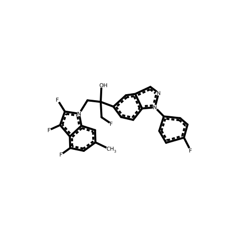 Cc1cc(F)c2c(F)c(F)n(CC(O)(CF)c3ccc4c(cnn4-c4ccc(F)cc4)c3)c2c1